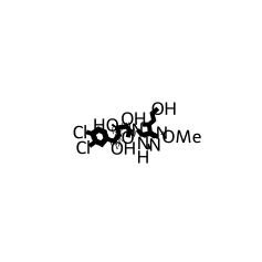 CON=c1nc[nH]c2c1C(CCO)CN2[C@@H]1O[C@H]([C@H](O)c2ccc(Cl)c(Cl)c2)[C@@H](O)[C@H]1O